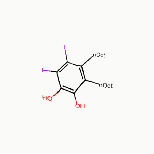 CCCCCCCCc1c(O)c(O)c(I)c(I)c1CCCCCCCC